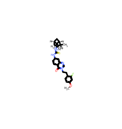 COc1ccc(CCn2cnc3cc(NC(=S)N[C@H]4C[C@H]5C[C@@H]([C@@H]4C)C5(C)C)ccc3c2=O)c(F)c1